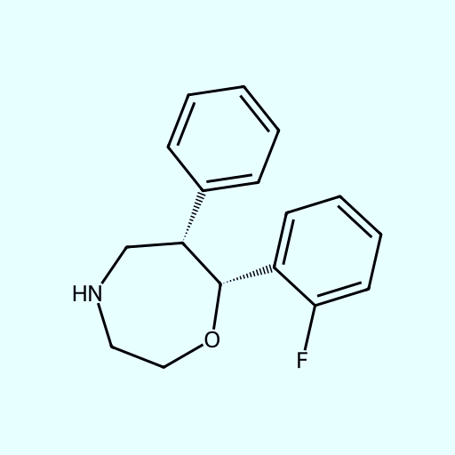 Fc1ccccc1[C@@H]1OCCNC[C@@H]1c1ccccc1